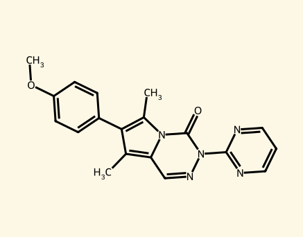 COc1ccc(-c2c(C)c3cnn(-c4ncccn4)c(=O)n3c2C)cc1